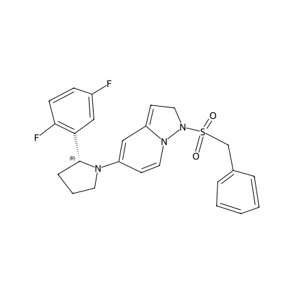 O=S(=O)(Cc1ccccc1)N1CC=C2C=C(N3CCC[C@@H]3c3cc(F)ccc3F)C=CN21